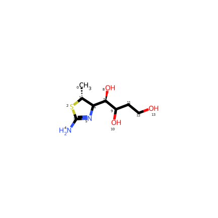 C[C@H]1SC(N)=NC1[C@@H](O)C(O)CCO